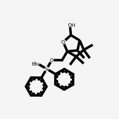 CC1C2C(O)OC1(CO[Si](c1ccccc1)(c1ccccc1)C(C)(C)C)C(C)(C)C2(C)C